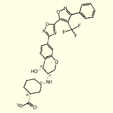 O=C(O)[C@@H]1CCC[C@H](N[C@H]2COc3cc(-c4noc(-c5onc(-c6ccccc6)c5C(F)(F)F)n4)ccc3[C@H]2O)C1